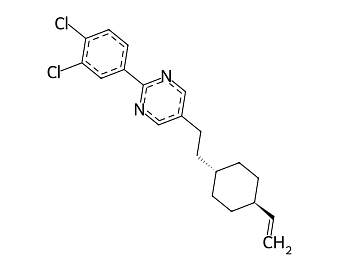 C=C[C@H]1CC[C@H](CCc2cnc(-c3ccc(Cl)c(Cl)c3)nc2)CC1